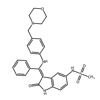 CS(=O)(=O)Nc1ccc2c(c1)C(=C(Nc1ccc(CN3CCOCC3)cc1)c1ccccc1)C(=O)N2